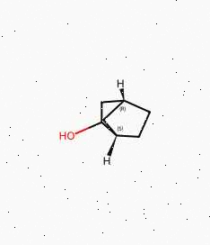 OC1C[C@@H]2CC[C@H]1C2